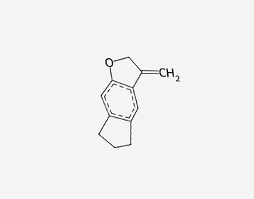 C=C1COc2cc3c(cc21)CCC3